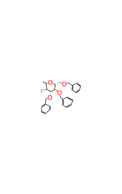 CC1O[C@H](COCc2ccccc2)[C@@H](OCc2ccccc2)[C@H](OCc2ccccc2)[C@H]1F